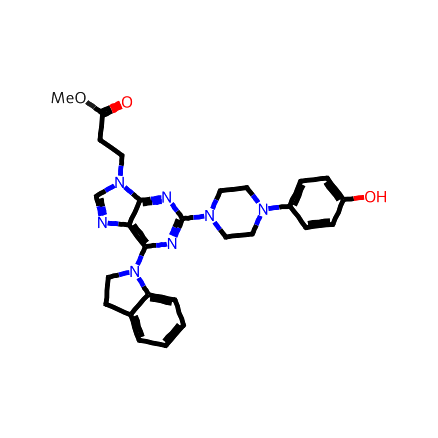 COC(=O)CCn1cnc2c(N3CCc4ccccc43)nc(N3CCN(c4ccc(O)cc4)CC3)nc21